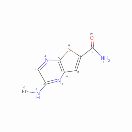 CCNc1cnc2sc(C(N)=O)cc2n1